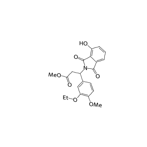 CCOc1cc(C(CC(=O)OC)N2C(=O)c3cccc(O)c3C2=O)ccc1OC